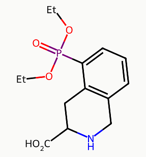 CCOP(=O)(OCC)c1cccc2c1CC(C(=O)O)NC2